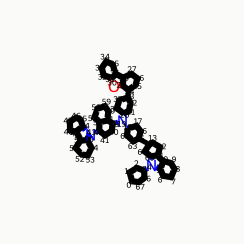 c1ccc(-n2c3ccccc3c3ccc(-c4ccc(N(c5ccc(-c6cccc7c6oc6ccccc67)cc5)c5ccc(-n6c7ccccc7c7ccccc76)c6ccccc56)cc4)cc32)cc1